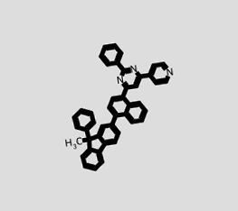 CC1(c2ccccc2)c2ccccc2-c2ccc(-c3ccc(-c4cc(-c5ccncc5)nc(-c5ccccc5)n4)c4ccccc34)cc21